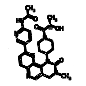 CC(=O)Nc1ccc(-c2ccc3ncc4c(c3n2)N(C2CCN(C(=O)[C@@H](C)O)CC2)C(=O)N(C)C4)cn1